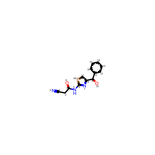 N#CCC(=O)Nc1nc(C(=O)c2ccccc2)cs1